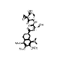 COc1c2c(c(N(C)C)c(OC)c1OC)CC(C(=O)N[C@@H](CO)C(=O)N[C@@H](CC(C)C)C(=O)[C@@]1(CO)CO1)CC2